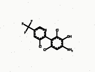 Nc1cc(Cl)c(-c2ncc(C(F)(F)F)cc2Cl)c(Cl)c1O